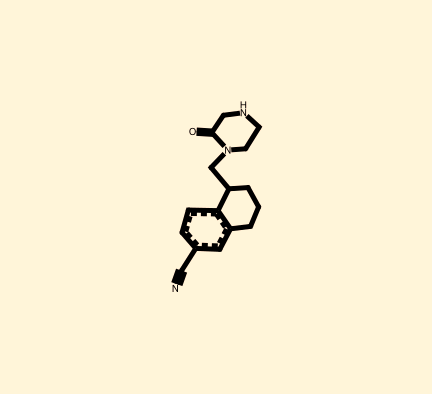 N#Cc1ccc2c(c1)CCCC2CN1CCNCC1=O